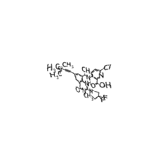 CC(Nc1ccc(Cl)nc1C(=O)O)c1cc(C#C[Si](C)(C)C)cc2c(=O)n(C)c(N3CCC(F)(F)CC3)nc12